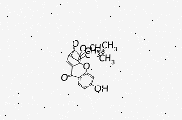 COC1(CC=C(C)C)C(=O)C2C=C3C(=O)c4ccc(O)cc4OC31C(C)C2